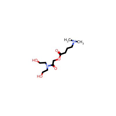 CN(C)CCCC(=O)OCC(=O)N(CCO)CCO